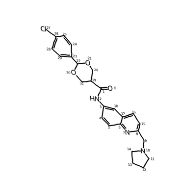 O=C(Nc1ccc2nc(CN3CCCC3)ccc2c1)C1COC(c2ccc(Cl)cc2)OC1